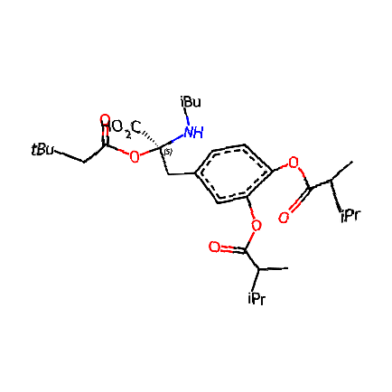 CCC(C)N[C@@](Cc1ccc(OC(=O)C(C)C(C)C)c(OC(=O)C(C)C(C)C)c1)(OC(=O)CC(C)(C)C)C(=O)O